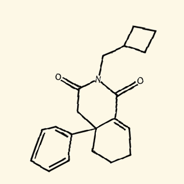 O=C1CC2(c3ccccc3)CCCC=C2C(=O)N1CC1CCC1